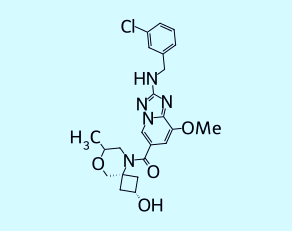 COc1cc(C(=O)N2CC(C)OC[C@]23C[C@@H](O)C3)cn2nc(NCc3cccc(Cl)c3)nc12